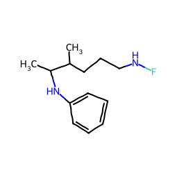 CC(CCCNF)C(C)Nc1ccccc1